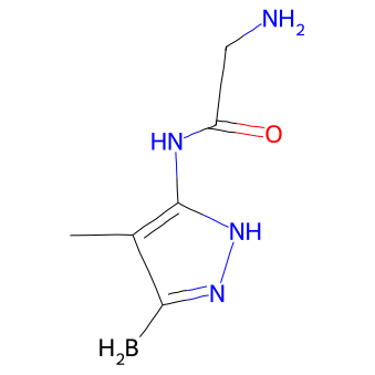 Bc1n[nH]c(NC(=O)CN)c1C